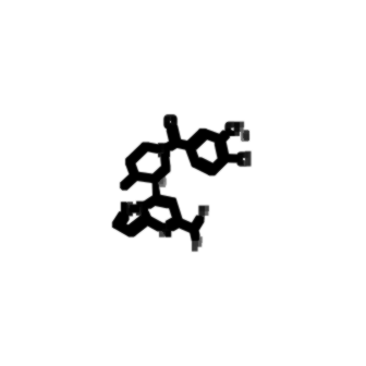 CC1CCN(C(=O)c2ccc(Cl)c(C(F)(F)F)c2)C[C@H]1c1cc(C(F)F)nc2ccnn12